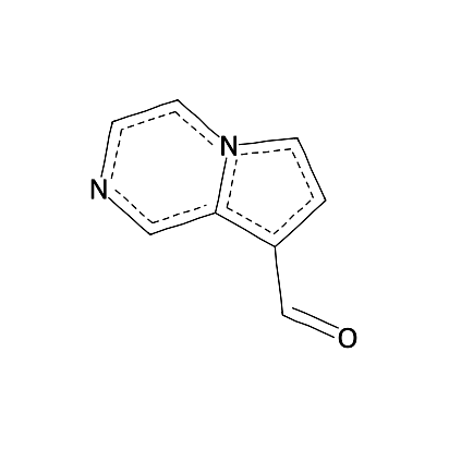 O=Cc1ccn2ccncc12